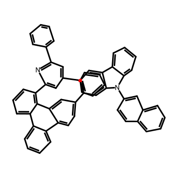 c1ccc(-c2cc(-c3ccccc3)nc(-c3cccc4c5ccccc5c5ccc(-c6ccc7c8ccccc8n(-c8ccc9ccccc9c8)c7c6)cc5c34)c2)cc1